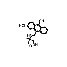 CC(CO)(CO)NCc1c2ccccc2c(C#N)c2ccccc12.Cl